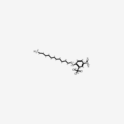 CCCCCCCCCCCCSSc1ccc([N+](=O)[O-])cc1C(Cl)(Cl)Cl